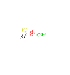 C.Cl.O.S